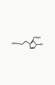 CCCCCCCCCCC[n+]1ccn(CC)c1CCCCCCC